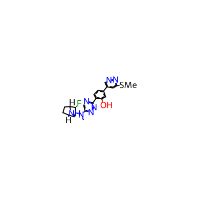 CSc1cc(-c2ccc(-c3ncc(N(C)[C@H]4C[C@@H]5CC[C@@H](N5)[C@H]4F)nn3)c(O)c2)cnn1